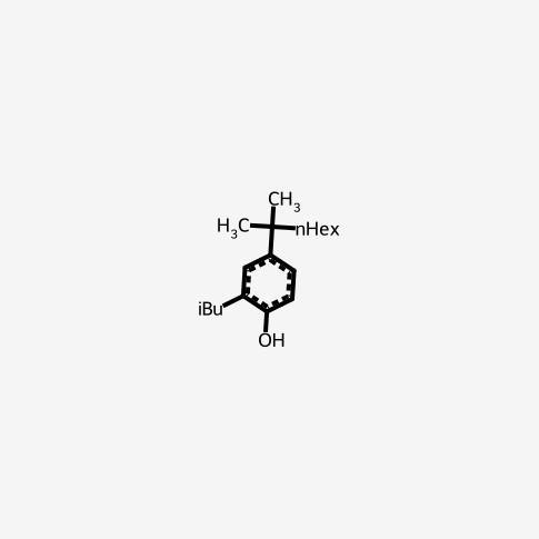 CCCCCCC(C)(C)c1ccc(O)c(C(C)CC)c1